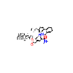 CCOC(=O)C(CC)(COC(=O)Cc1ccc(NC(=O)c2ccccc2-c2ccc(C(F)(F)F)cc2)c(C(=O)N(C)C)c1)C(=O)OCC